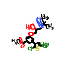 COC(=O)c1cc(OCC(O)CNC(C)C)cc(-c2cc(Cl)sc2Cl)c1.Cl